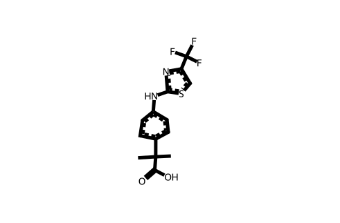 CC(C)(C(=O)O)c1ccc(Nc2nc(C(F)(F)F)cs2)cc1